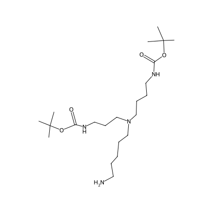 CC(C)(C)OC(=O)NCCCCN(CCCCCN)CCCNC(=O)OC(C)(C)C